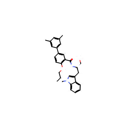 CCCOc1ccc(-c2cc(C)cc(C)c2)cc1C(=O)N[C@@H](CO)Cc1cn(C)c2ccccc12